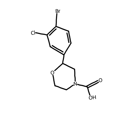 O=C(O)N1CCOC(c2ccc(Br)c(Cl)c2)C1